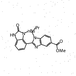 CCCCn1c(=O)[nH]c2cccc(-c3nc4cc(C(=O)OC)ccc4n3CC(C)C)c21